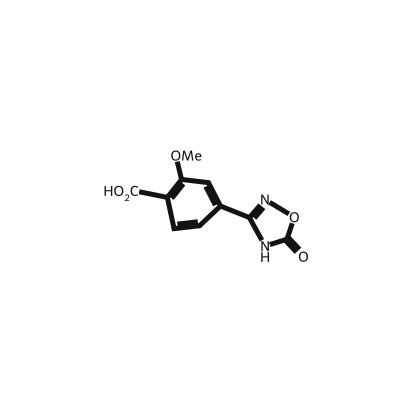 COc1cc(-c2noc(=O)[nH]2)ccc1C(=O)O